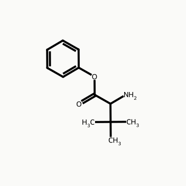 CC(C)(C)C(N)C(=O)Oc1ccccc1